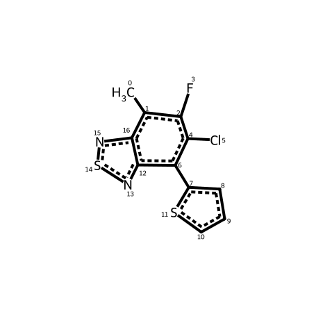 Cc1c(F)c(Cl)c(-c2cccs2)c2nsnc12